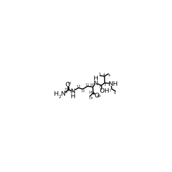 CCNC(C(C)C)C(O)NC(CCCNC(N)=O)C(C)=O